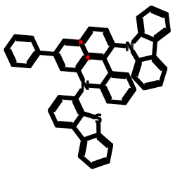 c1ccc(-c2cccc(N(c3ccccc3-c3ccccc3-n3c4ccccc4c4ccccc43)c3cccc4c3sc3ccccc34)c2)cc1